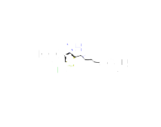 Cl.Nc1c(C(=O)O)csc1CCCCC(=O)O